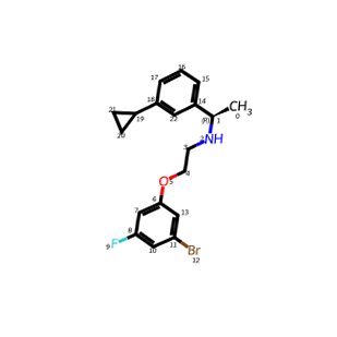 C[C@@H](NCCOc1cc(F)cc(Br)c1)c1cccc(C2CC2)c1